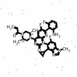 C=CC(=O)N1C[C@H](C)N(c2nc(=O)n(-c3c(F)cc4c(ncn4C)c3C3CC3)c3nc(-c4c(N)cccc4F)c(F)cc23)C[C@H]1C